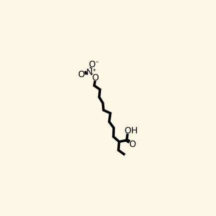 CCC(CCCCCCCCCO[N+](=O)[O-])C(=O)O